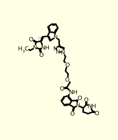 CCN1C(=O)N/C(=C\c2cn(Cc3cn(CCOCCOCC(=O)Nc4cccc5c4C(=O)N(C4CCC(=O)NC4=O)C5=O)nn3)c3ccccc23)C1=O